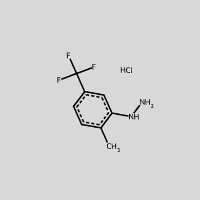 Cc1ccc(C(F)(F)F)cc1NN.Cl